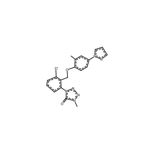 Cc1cc(-n2cccn2)ccc1OCc1c(Cl)cccc1-n1nnn(C)c1=O